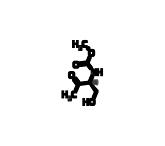 COC(=O)N[C@@H](CO)C(C)=O